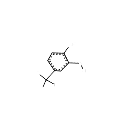 CNc1cc(C(F)(F)F)ccc1O